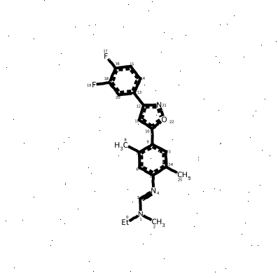 CCN(C)C=Nc1cc(C)c(-c2cc(-c3ccc(F)c(F)c3)no2)cc1C